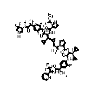 CC(C)n1nccc1C(=O)N[C@H](C(=O)Nc1ccc([C@H](C)C(=O)N[C@@H]2CNCC2(F)F)cc1F)C(C1CC1)C1CC1CC(C)n1nccc1C(=O)N[C@H](C(=O)Nc1ccc([C@H](C)C(=O)NC(c2ccccn2)C(F)(F)F)cc1F)C(C1CC1)C1CC1